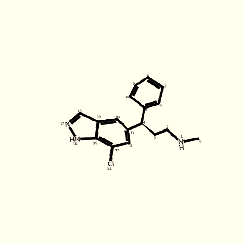 CNCC[C@H](c1ccccc1)c1cc(Cl)c2[nH]ncc2c1